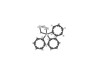 CCP(CC=O)(c1ccccc1)(c1ccccc1)c1ccccc1